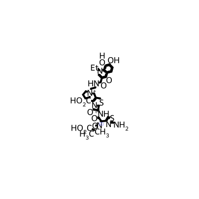 CCn1cc(C(=O)NCC[N+]2(CC3=C(C(=O)O)N4C(=O)[C@@H](NC(=O)/C(=N\OC(C)(C)C(=O)O)c5csc(N)n5)C4SC3)CCCC2)c(=O)c2ccc(O)c(O)c21